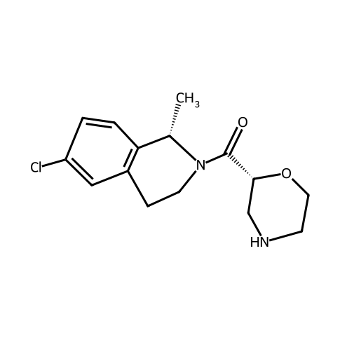 C[C@H]1c2ccc(Cl)cc2CCN1C(=O)[C@H]1CNCCO1